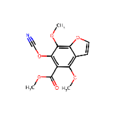 COC(=O)c1c(OC#N)c(OC)c2occc2c1OC